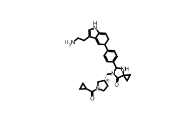 NCCc1c[nH]c2c1=CC(c1ccc(C3NC4(CC4)C(=O)N3C[C@@H]3CCN(C(=O)C4CC4)C3)cc1)CC=2